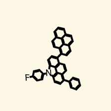 Fc1ccc(-n2c3ccc(-c4ccccc4)c4ccc5c(-c6ccc7ccc8cccc9ccc6c7c89)ccc2c5c43)cc1